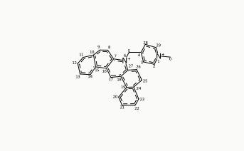 C[n+]1ccc(C[n+]2c3ccc4ccccc4c3cc3c4ccccc4ccc32)cc1